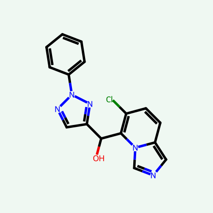 OC(c1cnn(-c2ccccc2)n1)c1c(Cl)ccc2cncn12